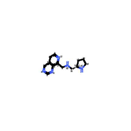 c1cc2cncnc2c(CNC[C@@H]2CCCN2)n1